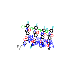 NC(=O)c1c(C(=O)NC2CC2)ncn1C1CCC2(CC1)CCN(c1ccc(F)cc1Cl)C2=O.O=C(NC1CCC2(CC1)CCN(c1cc(F)c(F)cc1Cl)C2=O)c1cnn2cccnc12.O=C(NC1CCC2(CC1)CCN(c1ccc(F)cc1Cl)C2=O)c1[nH]cnc1C(=O)N1CC(F)C1.O=C(NC1CCC2(CC1)CCN(c1ccc(F)cc1Cl)C2=O)c1[nH]cnc1C(=O)N1CCN(CC(F)(F)F)CC1